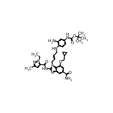 CCn1nc(C)cc1C(=O)Nc1nc2cc(C(N)=O)cc(OCC3CC3)c2n1C/C=C/CNc1ccc(NC(=O)OC(C)(C)C)cc1N